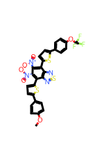 COc1ccc(-c2ccc(-c3c4c(c(-c5ccc(-c6ccc(OC(F)(F)F)cc6)s5)c([N+](=O)[O-])c3[N+](=O)[O-])N=S=N4)s2)cc1